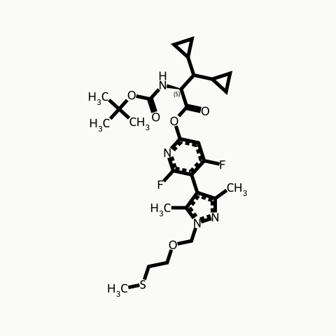 CSCCOCn1nc(C)c(-c2c(F)cc(OC(=O)[C@@H](NC(=O)OC(C)(C)C)C(C3CC3)C3CC3)nc2F)c1C